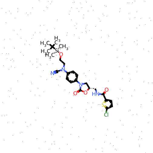 CC(C)(C)[Si](C)(C)OCCN(C#N)c1ccc(N2C[C@H](CNC(=O)c3ccc(Cl)s3)OC2=O)cc1